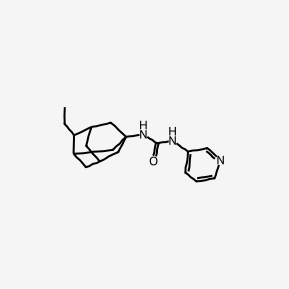 CCC1C2CC3CC1CC(NC(=O)Nc1cccnc1)(C3)C2